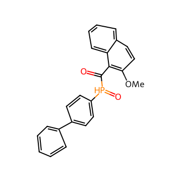 COc1ccc2ccccc2c1C(=O)[PH](=O)c1ccc(-c2ccccc2)cc1